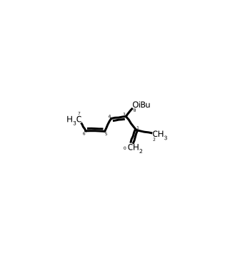 C=C(C)/C(=C\C=C/C)OCC(C)C